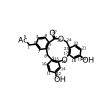 CC(=O)Cc1ccc2c(c1)Cc1ccc(O)cc1Oc1cc(O)ccc1COC2=O